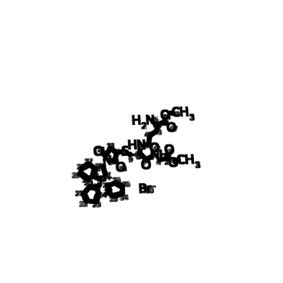 COC(=O)CNC(=O)[C@H](CSC1CC(=O)N(CC[P+](c2ccccc2)(c2ccccc2)c2ccccc2)C1=O)NC(=O)CC[C@H](N)C(=O)OC.[Br-]